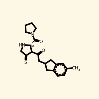 Cc1ccc2c(c1)CC(CC(=O)C1C(=S)CN[C@@H]1C(=O)N1CCCC1)C2